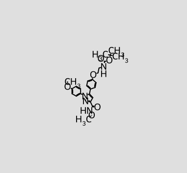 CONC(=O)c1cc(-c2ccc(OCCNC(=O)OC(C)(C)C)cc2)n(-c2ccc(OC)cc2)n1